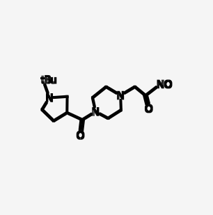 CC(C)(C)N1CCC(C(=O)N2CCN(CC(=O)N=O)CC2)C1